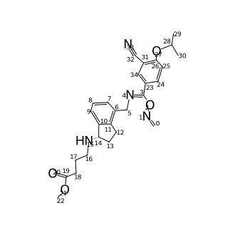 C=NO/C(=N\Cc1cccc2c1CC[C@@H]2NCCCC(=O)OC)c1ccc(OC(C)C)c(C#N)c1